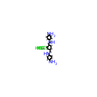 Cl.Cl.Cl.Cl.Nc1ccc(NCC2CCC(CNc3ccc(N)cc3)CC2)cc1